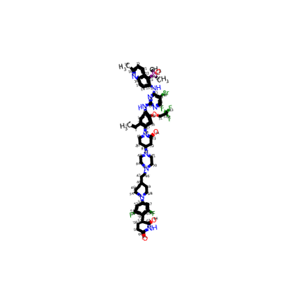 CCc1cc(Nc2ncc(Br)c(Nc3ccc4nc(C)ccc4c3P(C)(C)=O)n2)c(OCC(F)(F)F)cc1N1CCC(N2CCN(CCC3CCN(c4cc(F)c(C5CCC(=O)NC5=O)c(F)c4)CC3)CC2)CC1=O